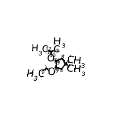 CCO[C@@H]1CC(C)(C)C[C@H]1OC(C)C